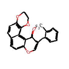 O=c1c(-c2ccccc2C(F)(F)F)coc2ccc3ccc4c(c3c12)OCCO4